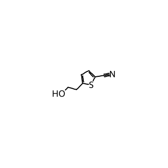 N#Cc1ccc(CCO)s1